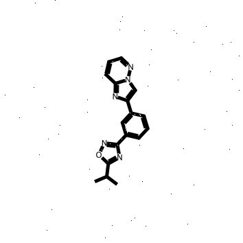 CC(C)c1nc(-c2cccc(-c3cn4ncccc4n3)c2)no1